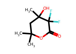 CC1(C)CC(C)(O)C(F)(F)C(=O)O1